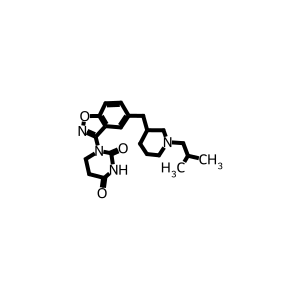 CC(C)CN1CCCC(Cc2ccc3onc(N4CCC(=O)NC4=O)c3c2)C1